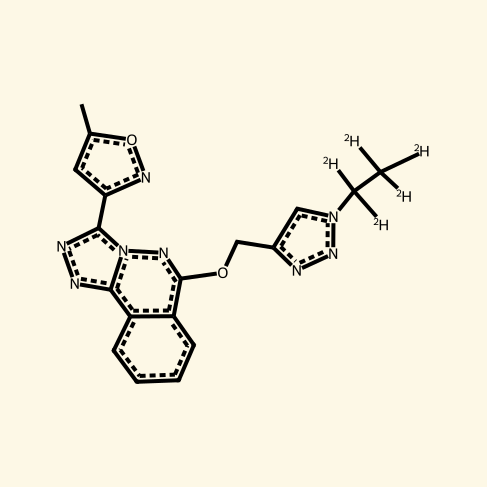 [2H]C([2H])([2H])C([2H])([2H])n1cc(COc2nn3c(-c4cc(C)on4)nnc3c3ccccc23)nn1